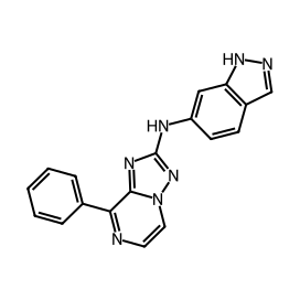 c1ccc(-c2nccn3nc(Nc4ccc5cn[nH]c5c4)nc23)cc1